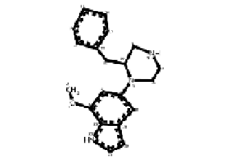 COc1cc(N2CCNCC2Cc2ccccc2)cc2cc[nH]c12